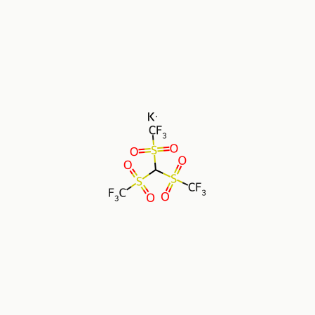 O=S(=O)(C(S(=O)(=O)C(F)(F)F)S(=O)(=O)C(F)(F)F)C(F)(F)F.[K]